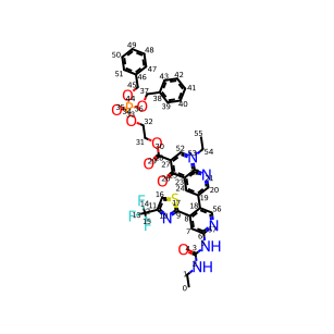 CCNC(=O)Nc1cc(-c2nc(C(F)(F)F)cs2)c(-c2cnc3c(c2)c(=O)c(C(=O)OCCOP(=O)(OCc2ccccc2)OCc2ccccc2)cn3CC)cn1